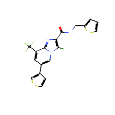 O=C(NCc1cccs1)c1nc2c(C(F)(F)F)cc(-c3ccsc3)cn2c1Cl